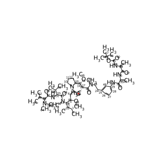 CC[C@H](C)[C@@H]([C@@H](CC(=O)N1CCC[C@H]1[C@H](OC)[C@@H](C)C(=O)N(C)CCc1cccc(NC(=O)[C@H](C)NC(=O)[C@H](C)NC(=O)OC(C)(C)C)c1)OC)N(C)C(=O)[C@@H](NC(=O)[C@H](C(C)C)N(C)C)C(C)C